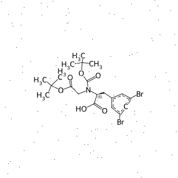 CC(C)(C)OC(=O)CN(C(=O)OC(C)(C)C)[C@@H](Cc1cc(Br)cc(Br)c1)C(=O)O